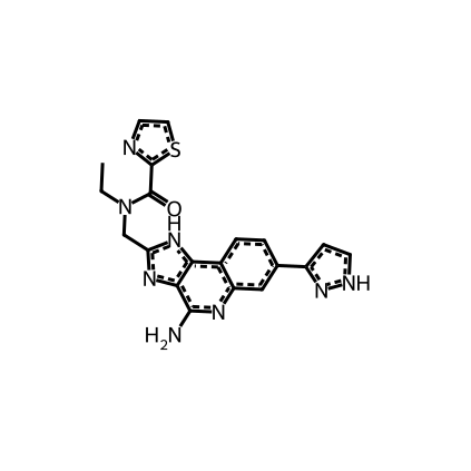 CCN(Cc1nc2c(N)nc3cc(-c4cc[nH]n4)ccc3c2[nH]1)C(=O)c1nccs1